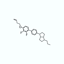 C=CCCOc1ccc(-c2ccc(C3CCC4C(CCC)CCC34)cc2)c(F)c1F